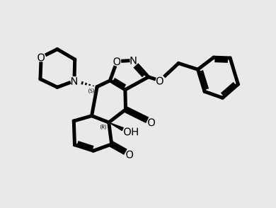 O=C1C=CCC2[C@H](N3CCOCC3)c3onc(OCc4ccccc4)c3C(=O)[C@]12O